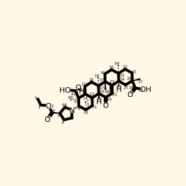 CCOC(=O)[C@@H]1CCN([C@H]2CC[C@@]3(C)[C@@H](CC[C@]4(C)[C@@H]3C(=O)C=C3[C@@H]5C[C@@](C)(C(=O)O)CC[C@]5(C)CC[C@]34C)[C@]2(C)C(=O)O)C1